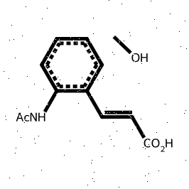 CC(=O)Nc1ccccc1C=CC(=O)O.CO